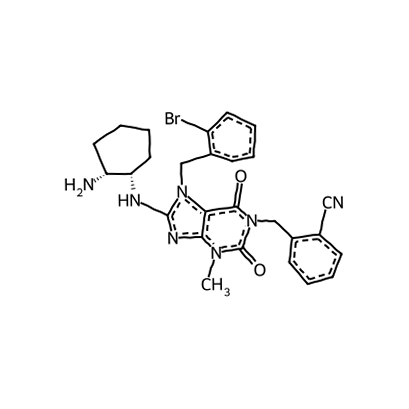 Cn1c(=O)n(Cc2ccccc2C#N)c(=O)c2c1nc(N[C@H]1CCCC[C@H]1N)n2Cc1ccccc1Br